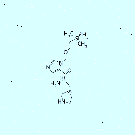 C[Si](C)(C)CCOCn1cncc1C(=O)[C@@H](N)C[C@@H]1CCNC1